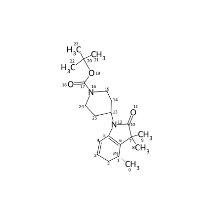 C[C@@H]1CC=CC2=C1C(C)(C)C(=O)N2C1CCN(C(=O)OC(C)(C)C)CC1